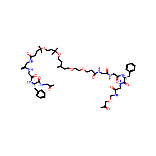 C=C(CNC(=O)CCC(C)(C)OCCC(C)(C)OCCC(C)CCOCCOCCC(=O)NCC(=O)NCC(=O)N[C@@H](Cc1ccccc1)C(=O)NCC(=O)NCOCC(C)=O)NCC(=O)N[C@@H](Cc1ccccc1)C(=O)NCC(C)=O